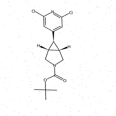 CC(C)(C)OC(=O)N1C[C@@H]2[C@H](C1)[C@H]2c1cc(Cl)nc(Cl)c1